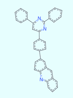 c1ccc(-c2cc(-c3ccc(-c4ccc5nc6ccccc6cc5c4)cc3)nc(-c3ccccc3)n2)cc1